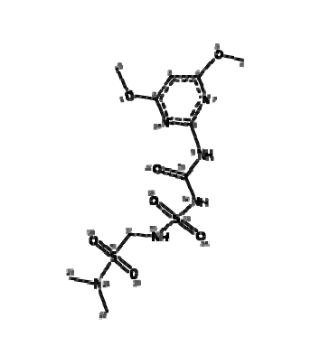 COc1cc(OC)nc(NC(=O)NS(=O)(=O)NCS(=O)(=O)N(C)C)n1